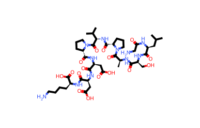 CC(C)C[C@H](NC(=O)CN)C(=O)N[C@@H](CO)C(=O)N[C@@H](C)C(=O)N1CCC[C@H]1C(=O)N[C@H](C(=O)N1CCC[C@H]1C(=O)N[C@@H](CC(=O)O)C(=O)N[C@@H](CC(=O)O)C(=O)N[C@@H](CCCCN)C(=O)O)C(C)C